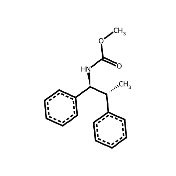 COC(=O)N[C@H](c1ccccc1)[C@H](C)c1ccccc1